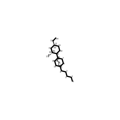 CCCCCC12CCC(C3CC[C@H](CC)C[C@H]3F)(CC1)CC2